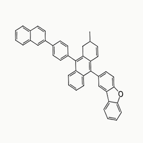 CC1C=Cc2c(c(-c3ccc(-c4ccc5ccccc5c4)cc3)c3ccccc3c2-c2ccc3oc4ccccc4c3c2)C1